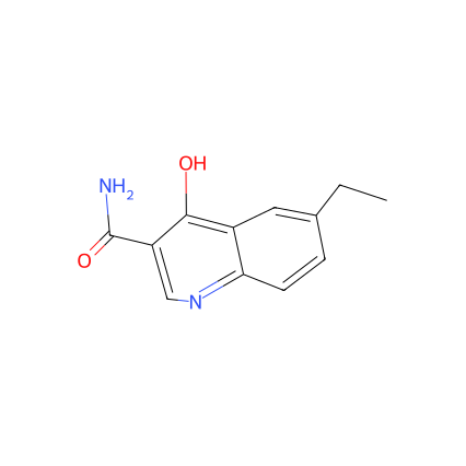 CCc1ccc2ncc(C(N)=O)c(O)c2c1